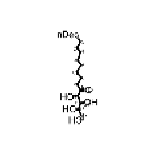 CCCCCCCCCCCCCCCCCCC(=O)C(O)C(O)C(O)CO